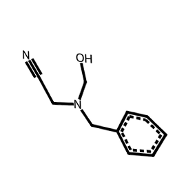 N#CCN(CO)Cc1ccccc1